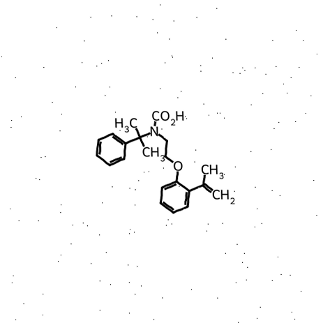 C=C(C)c1ccccc1OCCN(C(=O)O)C(C)(C)c1ccccc1